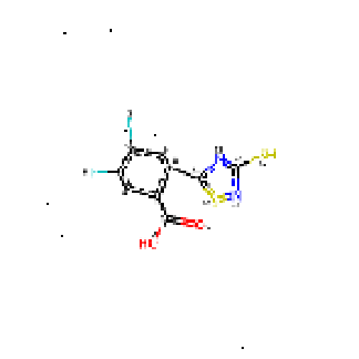 O=C(O)c1cc(F)c(F)cc1-c1nc(S)ns1